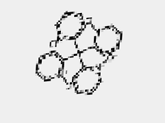 [O-][n+]1ccccc1C(c1cccc[n+]1[O-])(c1cccc[n+]1[O-])c1cccc[n+]1[O-]